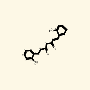 O=C(/C=C/c1ccccc1O)CC(=O)CCc1ccccc1O